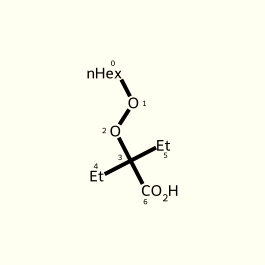 CCCCCCOOC(CC)(CC)C(=O)O